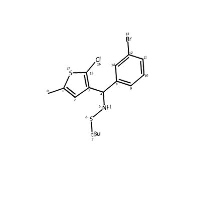 Cc1cc(C(NSC(C)(C)C)c2cccc(Br)c2)c(Cl)s1